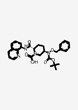 CC(C)(C)OC(=O)N(OCc1ccccc1)[C@@H]1CC[C@@H](C(=O)Nc2cccc3cccnc23)N(C(=O)O)C1